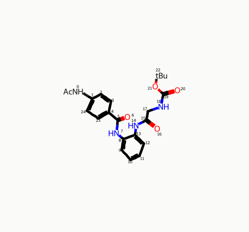 CC(=O)Nc1ccc(C(=O)Nc2ccccc2NC(=O)CNC(=O)OC(C)(C)C)cc1